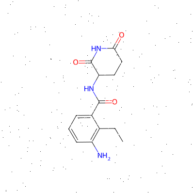 CCc1c(N)cccc1C(=O)NC1CCC(=O)NC1=O